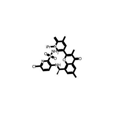 C=C1C(C)=CC(c2oc3c([C@@H](C)Nc4ccc(Cl)nc4S(N)(=O)=O)cc(C)cc3c(=O)c2C)=CN1C(C)C